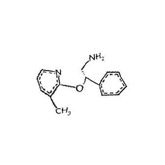 Cc1cccnc1O[C@H](CN)c1ccccc1